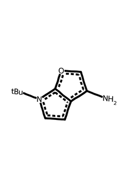 CC(C)(C)n1ccc2c(N)coc21